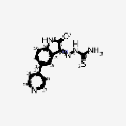 NC(=S)N/N=C1\C(=O)Nc2ccc(-c3ccncc3)cc21